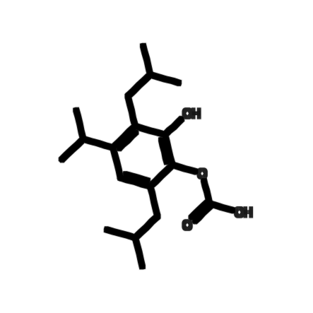 CC(C)Cc1cc(C(C)C)c(CC(C)C)c(O)c1OC(=O)O